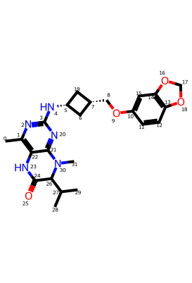 Cc1nc(N[C@H]2C[C@@H](COc3ccc4c(c3)OCO4)C2)nc2c1NC(=O)C(C(C)C)N2C